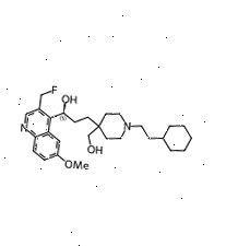 COc1ccc2ncc(CF)c([C@@H](O)CCC3(CO)CCN(CCC4CCCCC4)CC3)c2c1